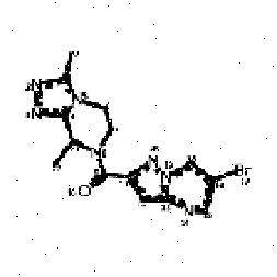 Cc1nnc2n1CCN(C(=O)c1cc3ncc(Br)cn3n1)C2C